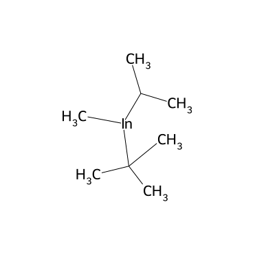 C[CH](C)[In]([CH3])[C](C)(C)C